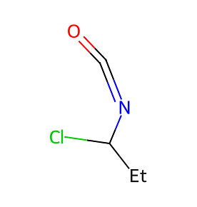 [CH2]CC(Cl)N=C=O